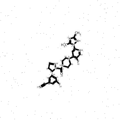 Cc1nc(C)n(-c2cc(N3CCN(C(=O)N4N=CC[C@H]4c4cc(F)cc(C#N)c4)CC3)c(F)cn2)n1